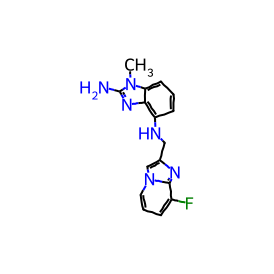 Cn1c(N)nc2c(NCc3cn4cccc(F)c4n3)cccc21